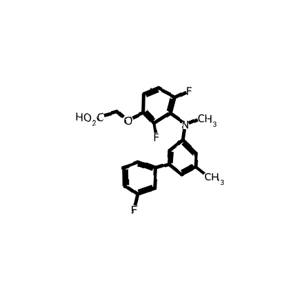 Cc1cc(-c2cccc(F)c2)cc(N(C)c2c(F)ccc(OCC(=O)O)c2F)c1